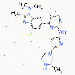 Cc1nc2c(F)cc(-c3nc(Nc4ccc(N5CCNC(C)C5)cn4)ncc3F)cc2n1N(C)C